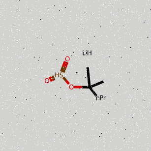 CCCC(C)(C)O[SH](=O)=O.[LiH]